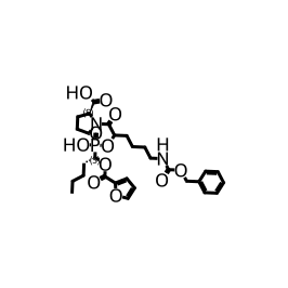 CCCC[C@@H](OC(=O)c1ccco1)P(=O)(O)OC(CCCCNC(=O)OCc1ccccc1)C(=O)N1CCC[C@H]1C(=O)O